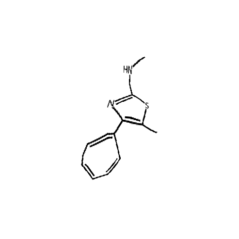 CNc1nc(-c2ccccc2)c(C)s1